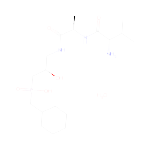 CC(C)[C@H](N)C(=O)N[C@H](C)C(=O)NC[C@@H](O)CP(=O)(O)CC1CCCCC1.O